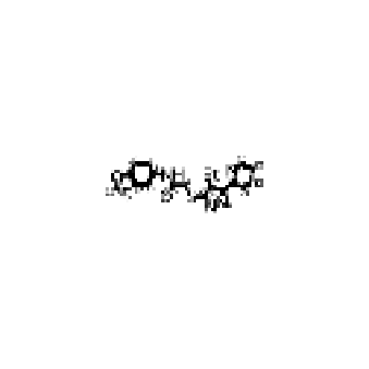 CCC1C(SCC(=O)Nc2ccc3c(c2)OCO3)=NN=C1c1cnccn1